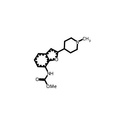 COC(=O)Nc1cccc2cc(C3CCN(C)CC3)oc12